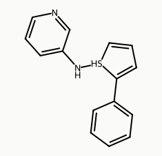 C1=C[SH](Nc2cccnc2)C(c2ccccc2)=C1